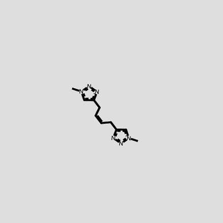 Cn1cc(C/C=C\Cc2cn(C)nn2)nn1